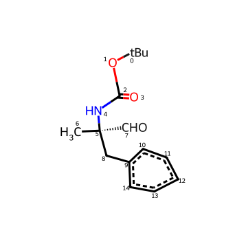 CC(C)(C)OC(=O)N[C@@](C)(C=O)Cc1ccccc1